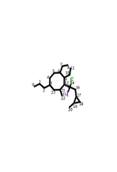 CCCC1CCC(CC)C(CC)C(C(F)(I)CC2CC2C)C(C)C1